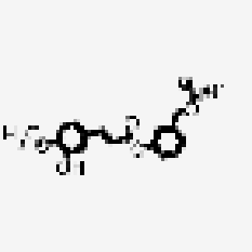 COc1ccc(/C=C/C(=O)Oc2cccc(CO[N+](=O)[O-])c2)cc1O